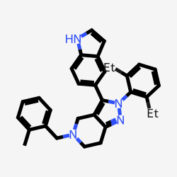 CCc1cccc(CC)c1-n1nc2c(c1-c1ccc3[nH]ccc3c1)CN(Cc1ccccc1C)CC2